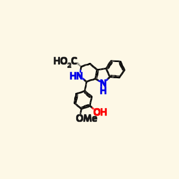 COc1ccc(C2N[C@H](C(=O)O)Cc3c2[nH]c2ccccc32)cc1O